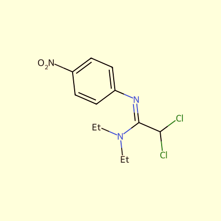 CCN(CC)C(=Nc1ccc([N+](=O)[O-])cc1)C(Cl)Cl